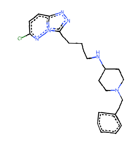 Clc1ccc2nnc(CCCNC3CCN(Cc4ccccc4)CC3)n2n1